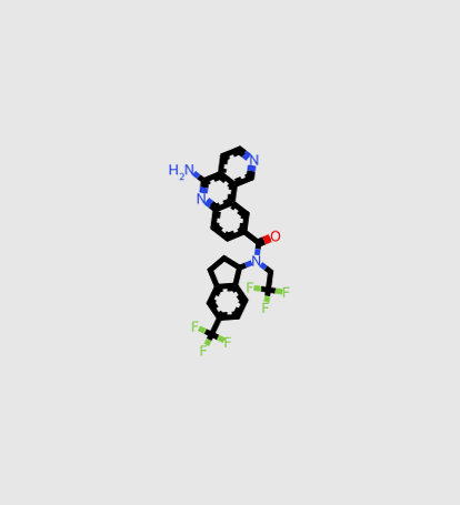 Nc1nc2ccc(C(=O)N(CC(F)(F)F)C3CCc4cc(C(F)(F)F)ccc43)cc2c2cnccc12